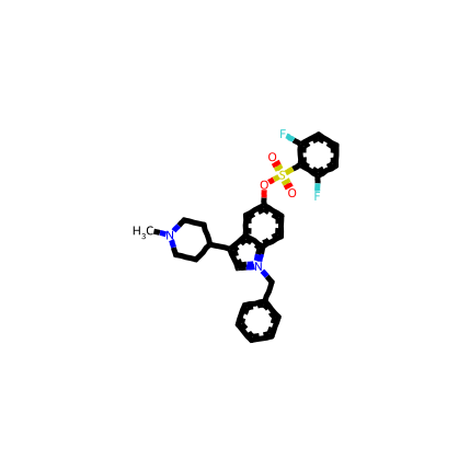 CN1CCC(c2cn(Cc3ccccc3)c3ccc(OS(=O)(=O)c4c(F)cccc4F)cc23)CC1